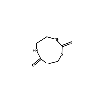 S=C1NCCNC(=S)SCS1